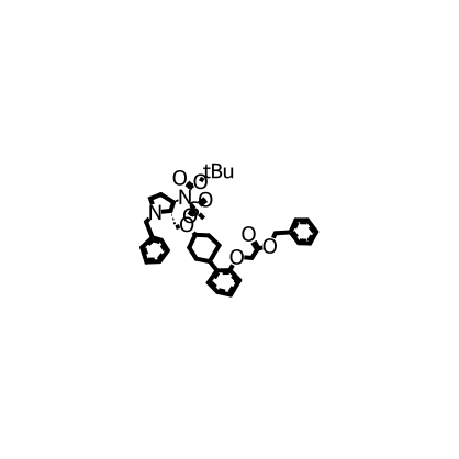 CC(C)(C)OC(=O)N([C@H]1CCN(Cc2ccccc2)[C@H]1COC1CCC(c2ccccc2OCC(=O)OCc2ccccc2)CC1)S(C)(=O)=O